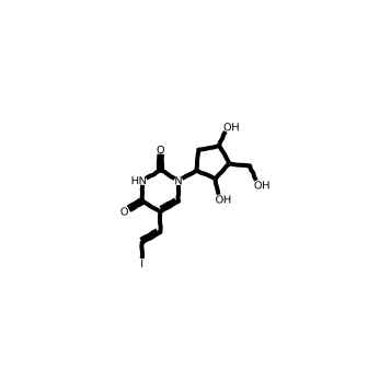 O=c1[nH]c(=O)n(C2CC(O)C(CO)C2O)cc1C=CI